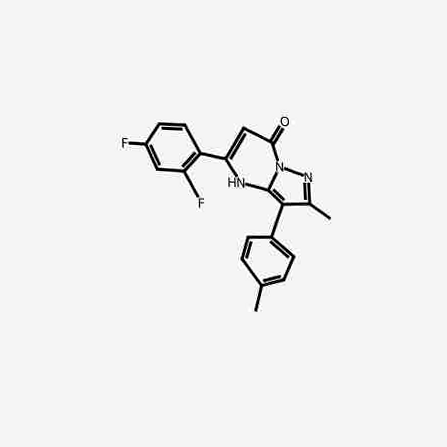 Cc1ccc(-c2c(C)nn3c(=O)cc(-c4ccc(F)cc4F)[nH]c23)cc1